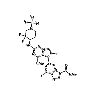 [2H]C([2H])([2H])N1CC[C@@H](Nc2nc(OC)c3c(-c4cc(F)c5ncc(C(=O)NC)n5c4)c(F)cn3n2)C(F)(F)C1